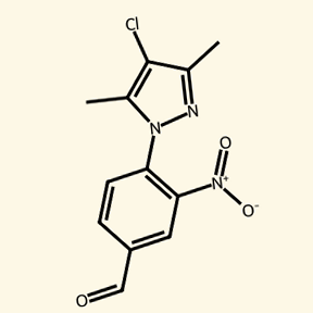 Cc1nn(-c2ccc(C=O)cc2[N+](=O)[O-])c(C)c1Cl